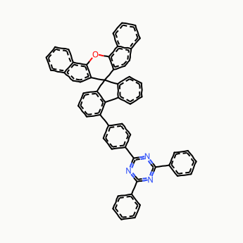 c1ccc(-c2nc(-c3ccccc3)nc(-c3ccc(-c4cccc5c4-c4ccccc4C54c5ccc6ccccc6c5Oc5c4ccc4ccccc54)cc3)n2)cc1